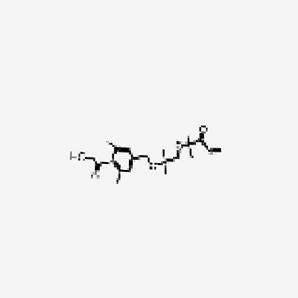 C=CC(=O)C(C)(C)OCC(C)(C)OCc1cc(C)c(C(=O)CO)c(C)c1